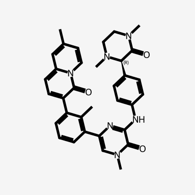 Cc1ccn2c(=O)c(-c3cccc(-c4cn(C)c(=O)c(Nc5ccc([C@@H]6C(=O)N(C)CCN6C)cc5)n4)c3C)ccc2c1